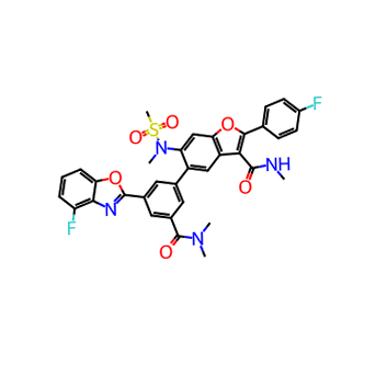 CNC(=O)c1c(-c2ccc(F)cc2)oc2cc(N(C)S(C)(=O)=O)c(-c3cc(C(=O)N(C)C)cc(-c4nc5c(F)cccc5o4)c3)cc12